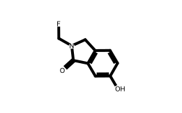 O=C1c2cc(O)ccc2CN1CF